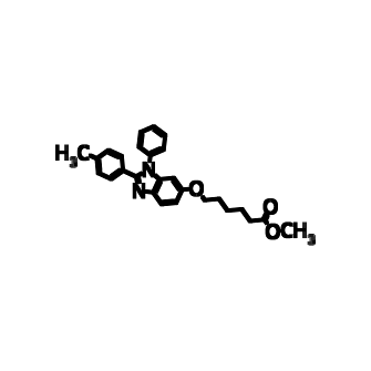 COC(=O)CCCCCOc1ccc2nc(-c3ccc(C)cc3)n(-c3ccccc3)c2c1